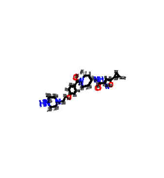 C[C@@H]1C[C@H](NC(=O)c2cc(C3CC3)on2)CCN1C(=O)c1ccc(OCCN2CCNCC2)cc1